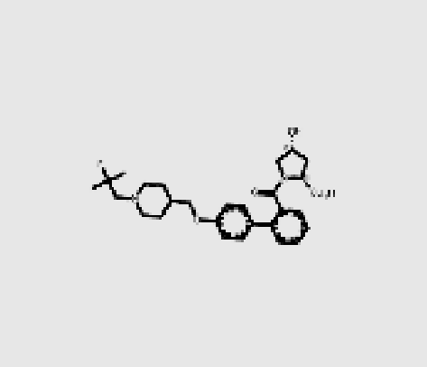 CC(C)(F)CN1CCC(COc2ccc(-c3ccccc3C(=O)N3C[C@H](O)C[C@H]3C(=O)O)cc2)CC1